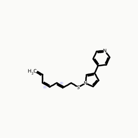 C=C/C=C\C=C\CSn1ccc(-c2ccncc2)c1